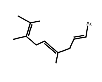 CC(=O)C=CCC(C)=CCC(C)=C(C)C